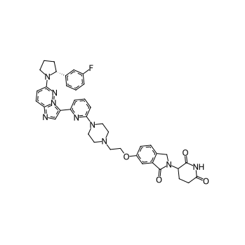 O=C1CCC(N2Cc3ccc(OCCN4CCN(c5cccc(-c6cnc7ccc(N8CCC[C@@H]8c8cccc(F)c8)nn67)n5)CC4)cc3C2=O)C(=O)N1